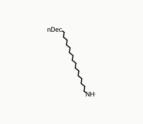 CCCCCCCCCCCCCCCCCCCCCCCCCC[NH]